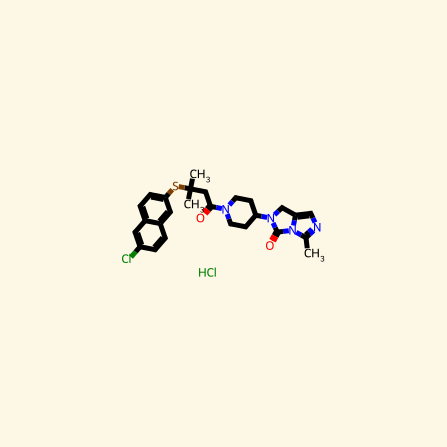 Cc1ncc2n1C(=O)N(C1CCN(C(=O)CC(C)(C)Sc3ccc4cc(Cl)ccc4c3)CC1)C2.Cl